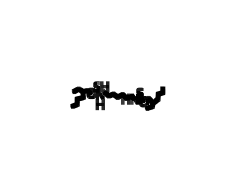 CCCCC(CC)COC(=S)NCCCCCCCNC(S)OCC(CC)CCCC